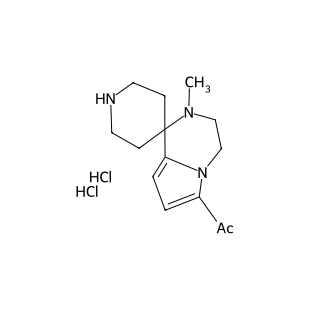 CC(=O)c1ccc2n1CCN(C)C21CCNCC1.Cl.Cl